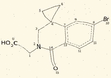 O=C(O)CN1CC2(CC2)c2cc(Br)ccc2C1=O